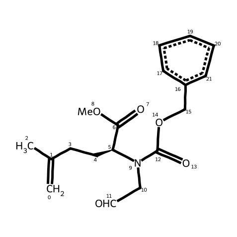 C=C(C)CC[C@@H](C(=O)OC)N(CC=O)C(=O)OCc1ccccc1